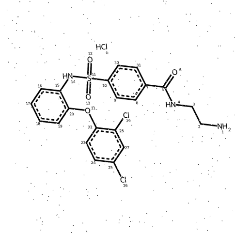 Cl.NCCNC(=O)c1ccc(S(=O)(=O)Nc2ccccc2Oc2ccc(Cl)cc2Cl)cc1